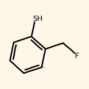 FCc1[c]cccc1S